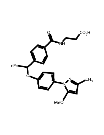 CCCC(Oc1ccc(-n2nc(C)cc2OC)cc1)c1ccc(C(=O)NCCC(=O)O)cc1